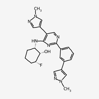 Cn1cc(-c2cccc(-c3ncc(-c4cnn(C)c4)c(N[C@H]4CCC[C@@H](F)[C@H]4O)n3)c2)cn1